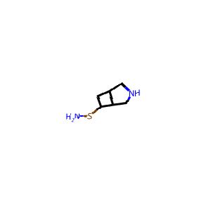 NSC1CC2CNCC21